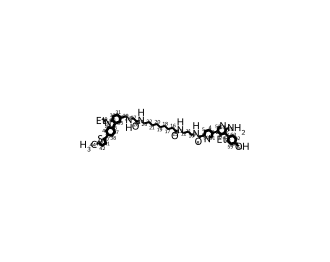 CCc1c(-c2ccc(C(=O)NCCCNC(=O)CCCCCCCCNC(=O)CNCc3ccc4c(c3)c3ccc(-c5ccc(C)s5)cc3n4CC)nc2)cnc(N)c1-c1ccc(O)cc1